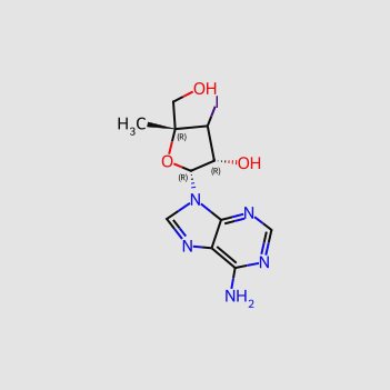 C[C@]1(CO)O[C@@H](n2cnc3c(N)ncnc32)[C@@H](O)C1I